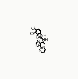 CC(NC(=O)Nc1ccc(Cl)c(Cl)c1C#N)c1ncnn1-c1ncccn1